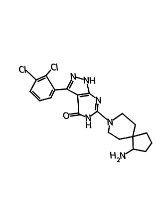 NC1CCCC12CCN(c1nc3[nH]nc(-c4cccc(Cl)c4Cl)c3c(=O)[nH]1)CC2